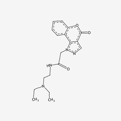 CCN(CC)CCNC(=O)Cn1ncc2c(=O)oc3ccccc3c21